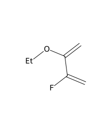 C=C(F)C(=C)OCC